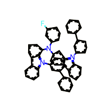 Fc1cccc(N(c2ccc3c4ccccc4n(-c4cccc(-c5ccccc5)c4)c3c2)c2cccc3c4ccccc4n(-c4cccc(-c5ccccc5)c4)c23)c1